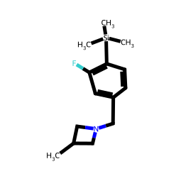 CC1CN(Cc2ccc([Si](C)(C)C)c(F)c2)C1